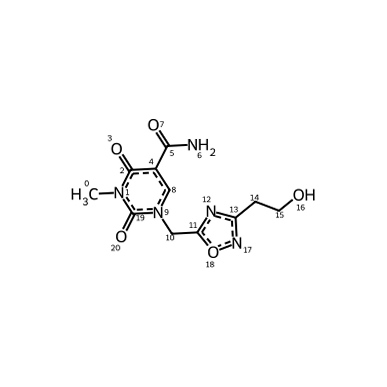 Cn1c(=O)c(C(N)=O)cn(Cc2nc(CCO)no2)c1=O